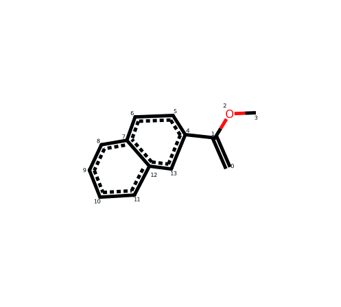 C=C(OC)c1ccc2ccccc2c1